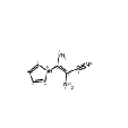 N#CC(N)=C(N)[SH]1C=CC=C1